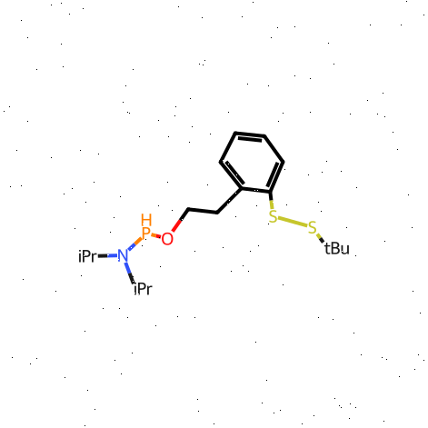 CC(C)N(POCCc1ccccc1SSC(C)(C)C)C(C)C